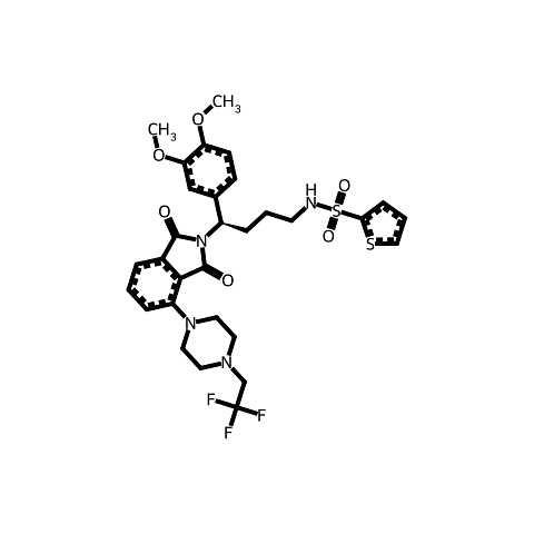 COc1ccc([C@@H](CCCNS(=O)(=O)c2cccs2)N2C(=O)c3cccc(N4CCN(CC(F)(F)F)CC4)c3C2=O)cc1OC